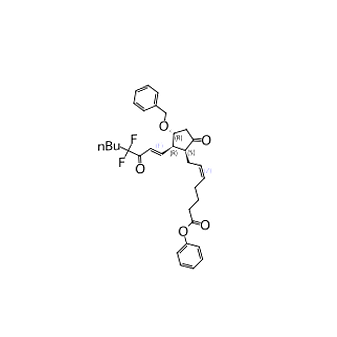 CCCCC(F)(F)C(=O)/C=C/[C@@H]1[C@H](C/C=C\CCCC(=O)Oc2ccccc2)C(=O)C[C@H]1OCc1ccccc1